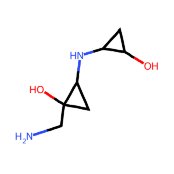 NCC1(O)CC1NC1CC1O